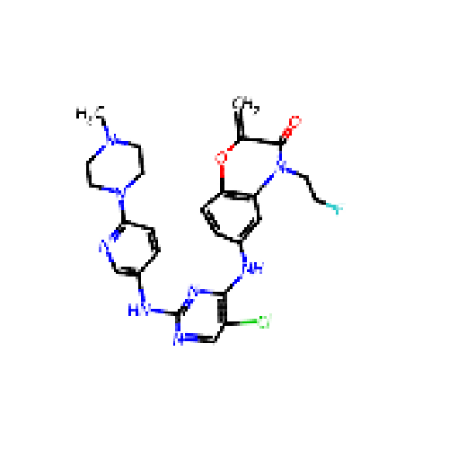 C=C1Oc2ccc(Nc3nc(Nc4ccc(N5CCN(C)CC5)nc4)ncc3Cl)cc2N(CCF)C1=O